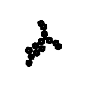 c1ccc(-c2cc(-c3ccccc3)n(-c3ccc(-c4ccccc4-c4ccccc4-c4ccc(N(c5ccc(-c6ccc7ccccc7c6)cc5)c5ccc(-c6ccc7ccccc7c6)cc5)cc4)cc3)n2)cc1